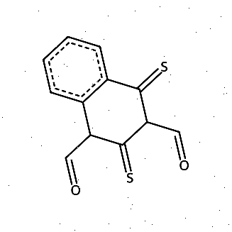 O=CC1C(=S)c2ccccc2C(C=O)C1=S